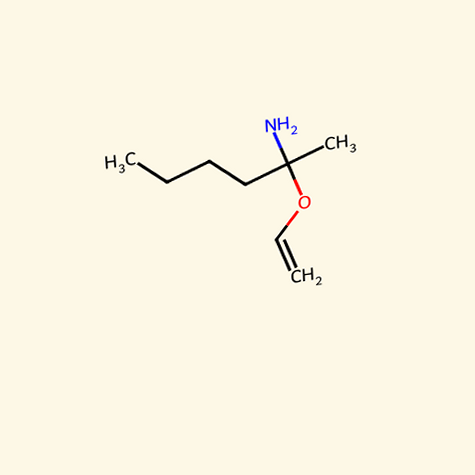 C=COC(C)(N)CCCC